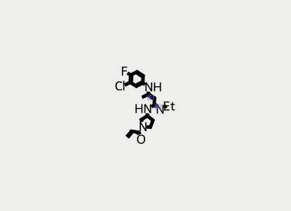 C=CC(=O)N1CCC(NC(/C=C(\C)Nc2ccc(F)c(Cl)c2)=N/CC)C1